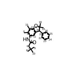 Cc1c(NC(=O)CC(C)(C)C)cc2c(c1C)OC(C)(C)C2c1ccccc1